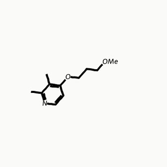 COCCCOc1ccnc(C)c1C